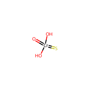 [O]=[Cr]([OH])([OH])=[S]